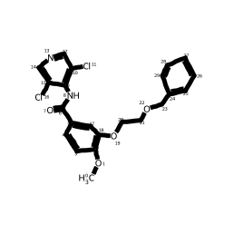 COc1ccc(C(=O)Nc2c(Cl)cncc2Cl)cc1OCCOCc1ccccc1